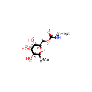 CCCCCCCNC(=O)OC[C@H]1OC(OC)[C@H](O)[C@@H](O)[C@@H]1O